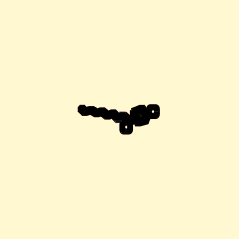 CCCCCCC/C=C/C(=O)N1CCC(=O)CC1